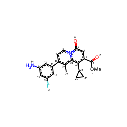 COC(=O)c1cc(=O)n2ccc(-c3cc(N)cc(F)c3)c(C)c2c1C1CC1